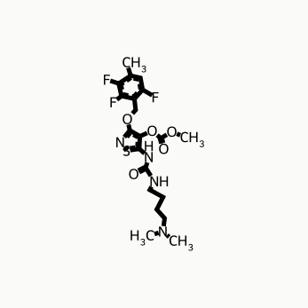 COC(=O)Oc1c(OCc2c(F)cc(C)c(F)c2F)nsc1NC(=O)NCCCCN(C)C